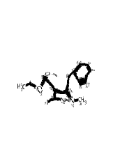 CCOC(=O)c1c(I)nn(C)c1Cc1ccccc1